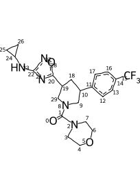 O=C(N1CCOCC1)N1CC(c2ccc(C(F)(F)F)cc2)CC(c2nc(NC3CC3)no2)C1